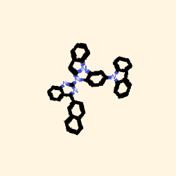 c1ccc2cc(-c3nc(-n4c5ccc(-n6c7ccccc7c7ccccc76)cc5n5c6ccccc6cc45)nc4ccccc34)ccc2c1